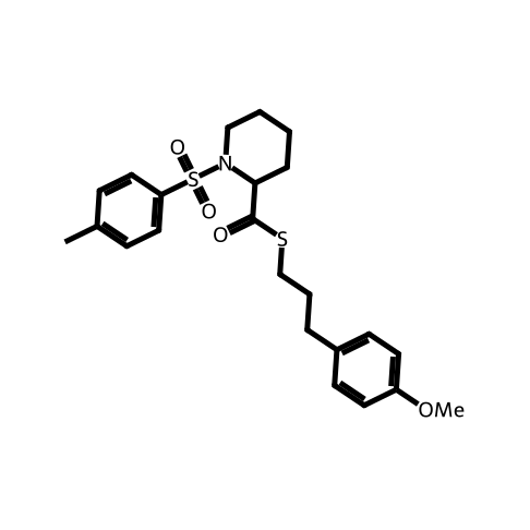 COc1ccc(CCCSC(=O)C2CCCCN2S(=O)(=O)c2ccc(C)cc2)cc1